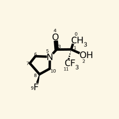 C[C@@](O)(C(=O)N1CC[C@H](F)C1)C(F)(F)F